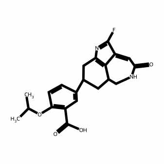 CC(C)Oc1ccc(C2CC3=C4C(=CC(=O)NCC4C2)C(F)=N3)cc1C(=O)O